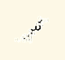 CC(C)(C)OCNc1nc(-c2ccc3nc(C(=O)O)cn3c2)cs1